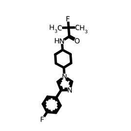 CC(C)(F)C(=O)NC1CCC(n2cnc(-c3ccc(F)cc3)c2)CC1